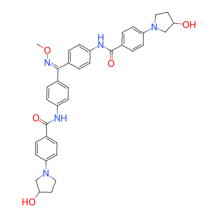 CON=C(c1ccc(NC(=O)c2ccc(N3CCC(O)C3)cc2)cc1)c1ccc(NC(=O)c2ccc(N3CCC(O)C3)cc2)cc1